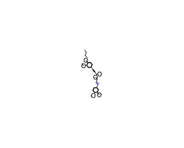 CCCCOc1ccc(C#CC(=O)OC/C=C/c2ccc(OC)c(OC)c2)cc1OC